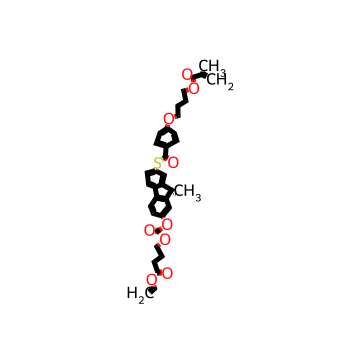 C=COC(=O)CCCOC(=O)Oc1ccc2c(c1)[C@@H](C)c1cc(SC(=O)c3ccc(OCCCCOC(=O)C(=C)C)cc3)ccc1-2